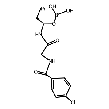 CC(C)C[C@H](NC(=O)CNC(=O)c1ccc(Cl)cc1)OB(O)O